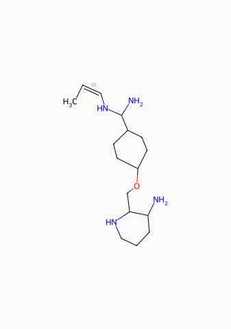 C/C=C\NC(N)C1CCC(OCC2NCCCC2N)CC1